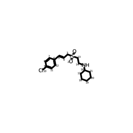 O=S(=O)(CC=Cc1ccc(Cl)cc1)CCNC1CCCCC1